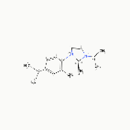 Cc1cc(C(C)C)ccc1N1C=CN(C(C)C)[C@H]1C